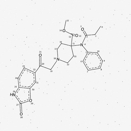 CCC(=O)N(c1ccccc1)C1(C(=O)OC)CCN(CC(=O)c2ccc3[nH]c(=O)oc3c2)CC1